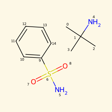 CC(C)(C)N.NS(=O)(=O)c1ccccc1